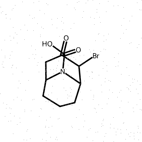 O=C1CC2CCCC(C1Br)N2C(=O)O